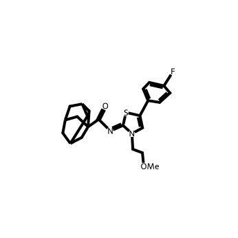 COCCn1cc(-c2ccc(F)cc2)sc1=NC(=O)C12CC3CC(CC(C3)C1)C2